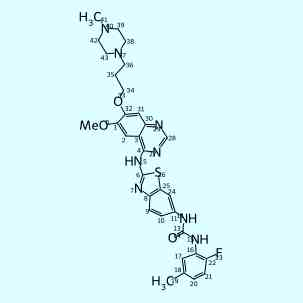 COc1cc2c(Nc3nc4ccc(NC(=O)Nc5cc(C)ccc5F)cc4s3)ncnc2cc1OCCCN1CCN(C)CC1